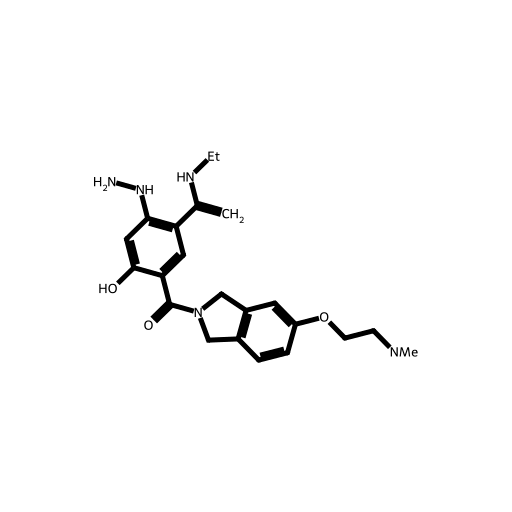 C=C(NCC)c1cc(C(=O)N2Cc3ccc(OCCNC)cc3C2)c(O)cc1NN